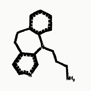 NCCCN1c2ccccc2CCc2ccncc21